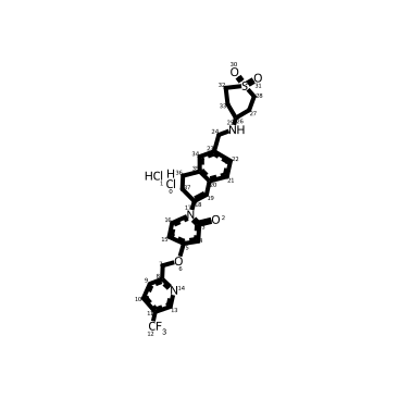 Cl.Cl.O=c1cc(OCc2ccc(C(F)(F)F)cn2)ccn1C1=Cc2ccc(CNC3CCS(=O)(=O)CC3)cc2CC1